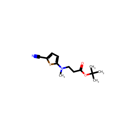 CN(CCC(=O)OC(C)(C)C)c1ccc(C#N)s1